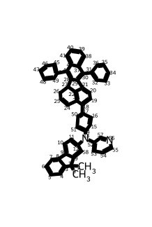 CC1(C)c2ccccc2-c2ccc(N(c3ccc(-c4ccc5c6c4C=CCC6c4c-5c(-c5ccccc5)c5ccccc5c4-c4ccccc4)cc3)c3cccnc3)cc21